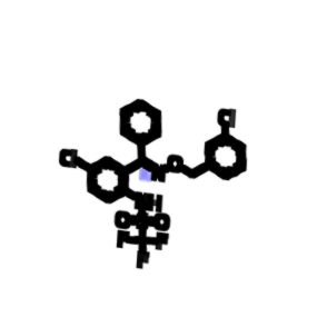 O=S(=O)(Nc1ccc(Cl)cc1/C(=N/OCc1cccc(Cl)c1)c1ccccc1)C(F)(F)F